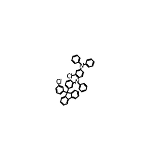 Clc1cccc(C2(c3cccc(N(c4ccccc4)c4ccc(N(c5ccccc5)c5ccccc5)cc4Cl)c3)c3ccccc3-c3ccccc32)c1